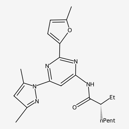 CCCCC[C@@H](CC)C(=O)Nc1cc(-n2nc(C)cc2C)nc(-c2ccc(C)o2)n1